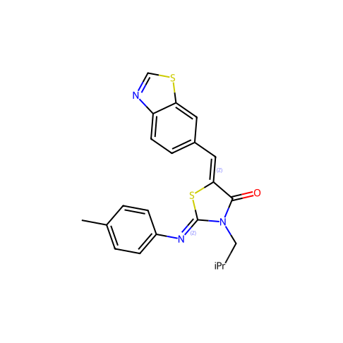 Cc1ccc(/N=C2\S/C(=C\c3ccc4ncsc4c3)C(=O)N2CC(C)C)cc1